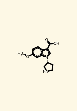 COc1ccc2c(C(=O)O)cn([C@@H]3CCNC3)c2c1